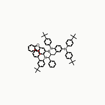 CC(C)(C)c1ccc(N2B3c4cc5oc6ccccc6c5cc4N(c4ccc(C(C)(C)C)cc4-c4ccccc4)C(c4ccccc4)C3Cc3cc(N(c4ccc(C(C)(C)C)cc4)c4ccc(C(C)(C)C)cc4)ccc32)cc1